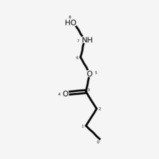 CCCC(=O)OCNO